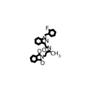 Cc1nc(-c2nn(Cc3ccccc3F)c3ccccc23)oc1CN1C(=O)c2ccccc2C1=O